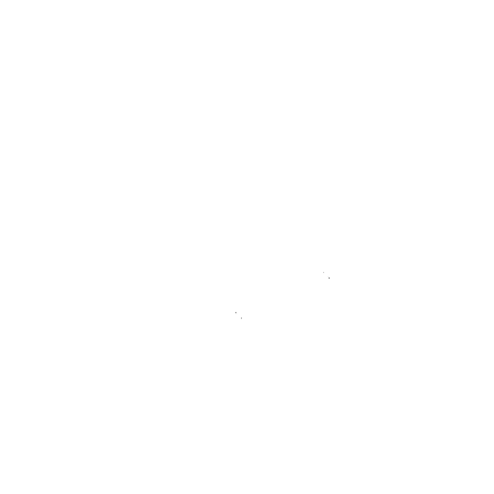 N#Cc1cccc(Cl)c1OC(N)=O